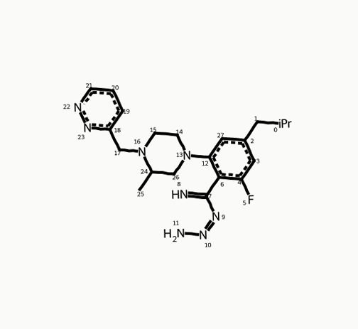 CC(C)Cc1cc(F)c(C(=N)/N=N\N)c(N2CCN(Cc3cccnn3)C(C)C2)c1